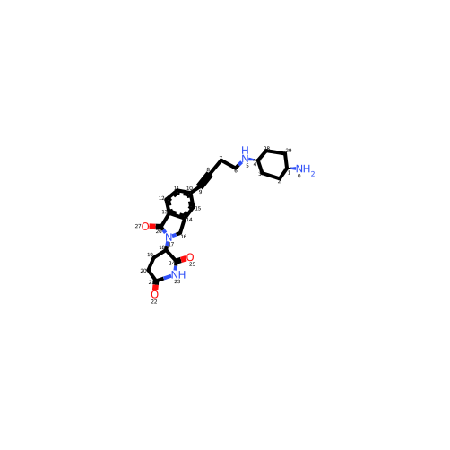 N[C@H]1CC[C@@H](NCCC#Cc2ccc3c(c2)CN(C2CCC(=O)NC2=O)C3=O)CC1